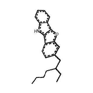 CCCCC(CC)Cc1ccc2c(c1)oc1c3ccccc3[nH]c21